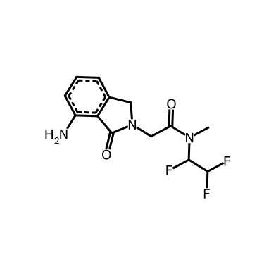 CN(C(=O)CN1Cc2cccc(N)c2C1=O)C(F)C(F)F